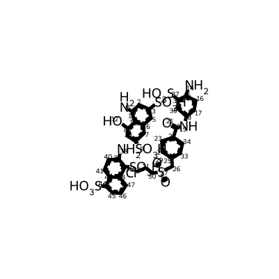 Nc1cc(S(=O)(=O)O)cc2cc(S(=O)(=O)O)cc(O)c12.Nc1ccc(NC(=O)c2ccc(CS(=O)(=O)CCCl)cc2)cc1S(=O)(=O)O.Nc1ccc2c(S(=O)(=O)O)cccc2c1S(=O)(=O)O